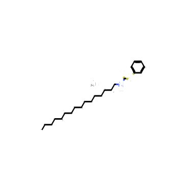 CCCCCCCCCCCCCCCCNC(=S)Sc1ccccc1.[Zn]